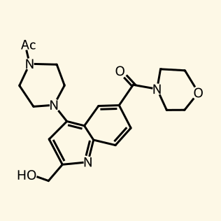 CC(=O)N1CCN(c2cc(CO)nc3ccc(C(=O)N4CCOCC4)cc23)CC1